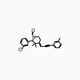 Cc1cccc(C#CC=C2CCN(C=O)C(c3cccc(Cl)c3)C2(C)C)c1